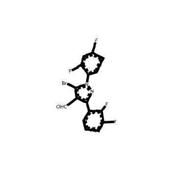 O=Cc1c(-c2cccc(F)c2F)nn(-c2ccc(F)cc2F)c1Br